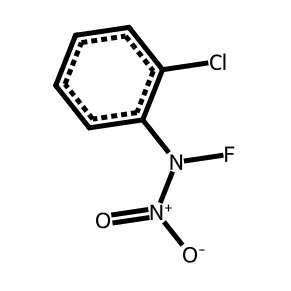 O=[N+]([O-])N(F)c1ccccc1Cl